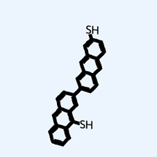 Sc1ccc2cc3ccc(-c4ccc5cc6ccccc6c(S)c5c4)cc3cc2c1